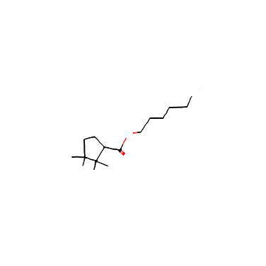 COCCCCCOC(=O)C1CCC(C)(C(=O)O)C1(C)C